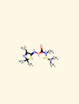 CC1=NC(C)(C)SC1=NOC(=O)N(C)SN(C)C